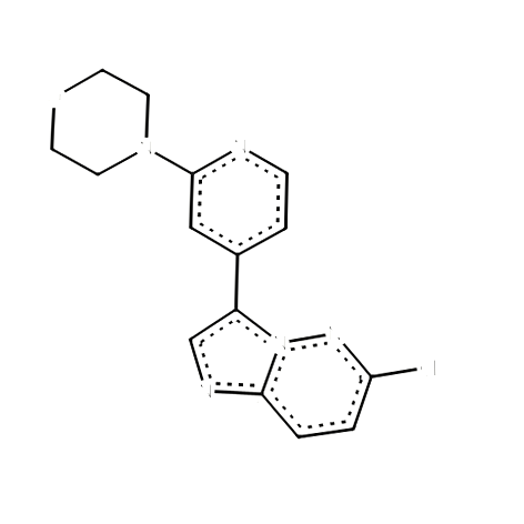 Clc1ccc2ncc(-c3ccnc(N4CCOCC4)c3)n2n1